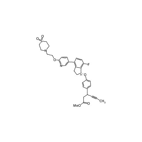 CC#CC(CC(=O)OC)c1ccc(O[C@@H]2CCc3c(-c4ccc(OCCN5CCS(=O)(=O)CC5)nc4)ccc(F)c32)cc1